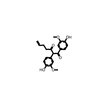 C=CCCC(=O)C(C(=O)c1ccc(O)c(OC)c1)c1ccc(O)c(OC)c1